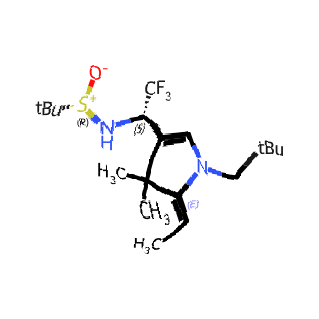 C/C=C1/N(CC(C)(C)C)C=C([C@H](N[S@@+]([O-])C(C)(C)C)C(F)(F)F)C1(C)C